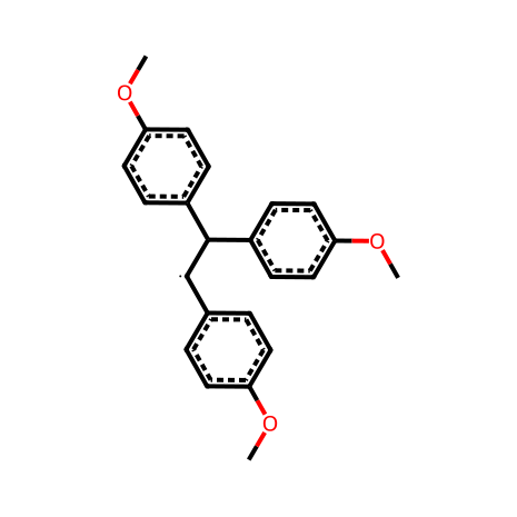 COc1ccc([CH]C(c2ccc(OC)cc2)c2ccc(OC)cc2)cc1